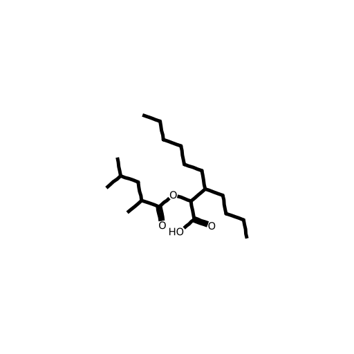 CCCCCCC(CCCC)C(OC(=O)C(C)CC(C)C)C(=O)O